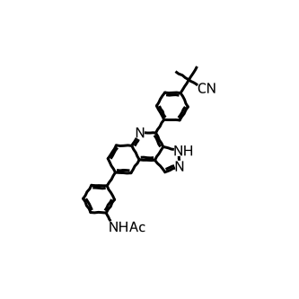 CC(=O)Nc1cccc(-c2ccc3nc(-c4ccc(C(C)(C)C#N)cc4)c4[nH]ncc4c3c2)c1